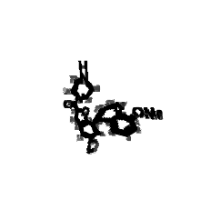 COc1cccc2c(-c3cc(Cl)cc4c3OC(C(=O)N3CCNCC3)C4)ccnc12